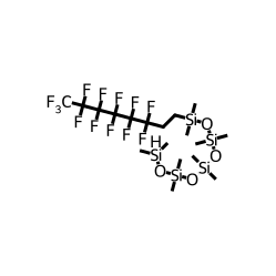 C[SiH](C)O[Si](C)(C)O[Si](C)(C)O[Si](C)(C)O[Si](C)(C)CCC(F)(F)C(F)(F)C(F)(F)C(F)(F)C(F)(F)C(F)(F)F